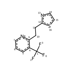 FC(F)(F)c1cccnc1CCc1nccs1